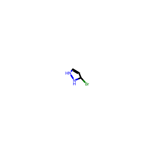 BrC1[C]=CNN1